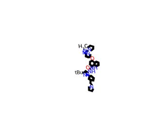 C[C@H]1CCCCN1c1nnc2ccc(O[C@@H]3CC[C@H](NC(=O)Nc4cc(C(C)(C)C)nn4-c4cccc(CCN5CCCC5)c4)c4ccccc43)cn12